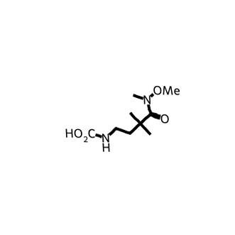 CON(C)C(=O)C(C)(C)CCNC(=O)O